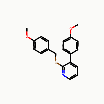 COc1ccc(CSc2ncccc2-c2ccc(OC)cc2)cc1